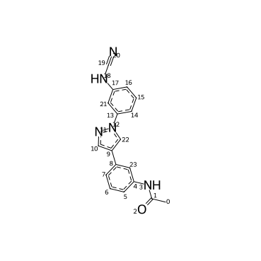 CC(=O)Nc1cccc(-c2cnn(-c3cccc(NC#N)c3)c2)c1